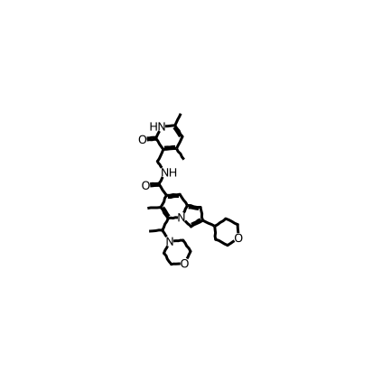 Cc1cc(C)c(CNC(=O)c2cc3cc(C4CCOCC4)cn3c(C(C)N3CCOCC3)c2C)c(=O)[nH]1